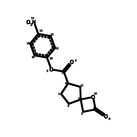 O=C1CC2(CCC(C(=O)Oc3ccc([N+](=O)[O-])cc3)C2)O1